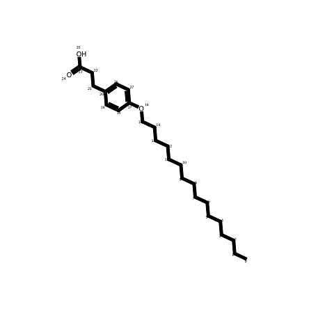 CCCCCCCCCCCCCCCCOc1ccc(CCC(=O)O)cc1